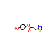 O=C(CCc1nccs1)Oc1ccc(O)cc1